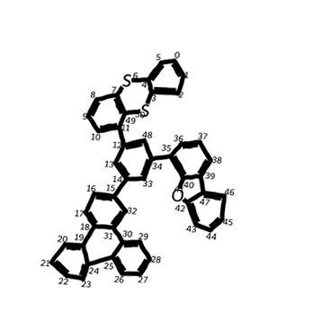 c1ccc2c(c1)Sc1cccc(-c3cc(-c4ccc5c6ccccc6c6ccccc6c5c4)cc(-c4cccc5c4oc4ccccc45)c3)c1S2